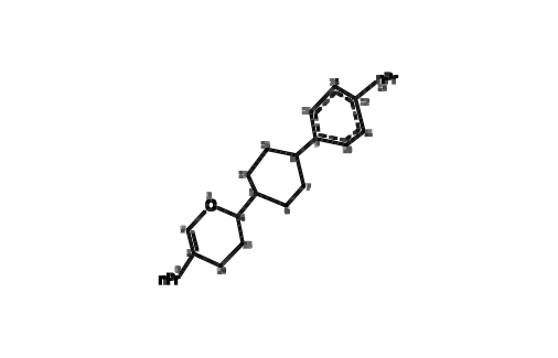 CCCC1=COC(C2CCC(c3ccc(CCC)cc3)CC2)CC1